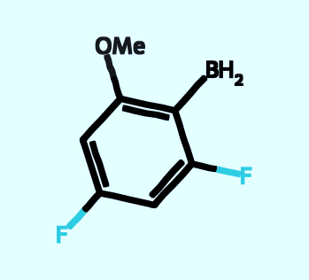 Bc1c(F)cc(F)cc1OC